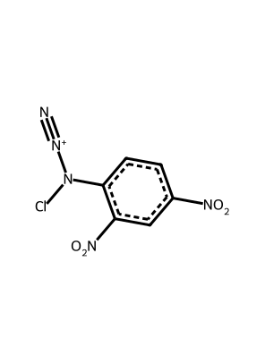 N#[N+]N(Cl)c1ccc([N+](=O)[O-])cc1[N+](=O)[O-]